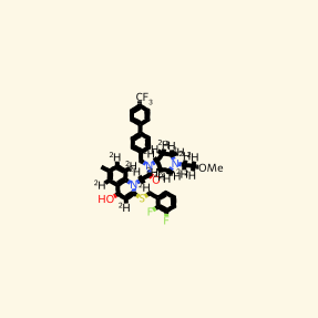 [2H]C1=C(SCc2cccc(F)c2F)N(C([2H])([2H])C(=O)N(Cc2ccc(-c3ccc(C(F)(F)F)cc3)cc2)C2([2H])C([2H])([2H])C([2H])([2H])N(C([2H])([2H])C([2H])([2H])OC)C([2H])([2H])C2([2H])[2H])c2c([2H])c([2H])c(C)c([2H])c2C1O